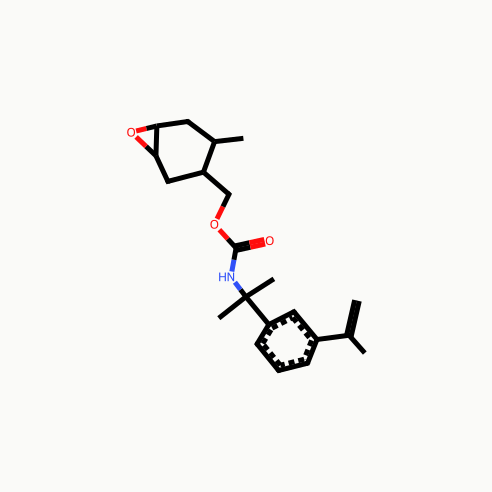 C=C(C)c1cccc(C(C)(C)NC(=O)OCC2CC3OC3CC2C)c1